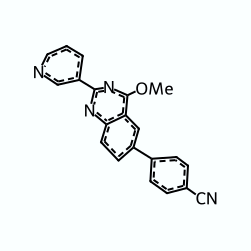 COc1nc(-c2cccnc2)nc2ccc(-c3ccc(C#N)cc3)cc12